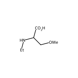 CCNC(COC)C(=O)O